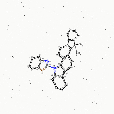 CC1(C)c2ccccc2-c2ccc3c(ccc4c5ccccc5n(-c5nc6ccccc6s5)c34)c21